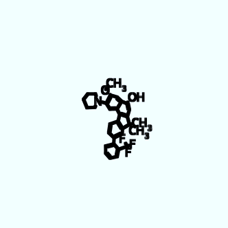 COc1cc2c(O)cc3c(c2cc1N1CCCCC1)-c1ccc(-c2ccccc2C(F)(F)F)cc1C3(C)C